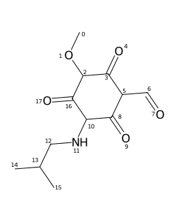 COC1C(=O)C(C=O)C(=O)C(NCC(C)C)C1=O